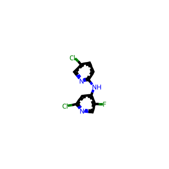 Fc1cnc(Cl)cc1Nc1ccc(Cl)cn1